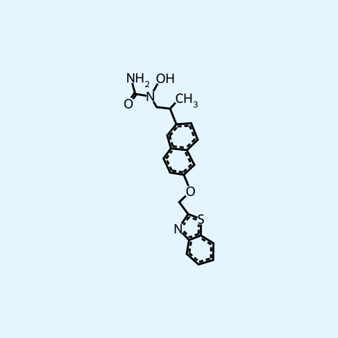 CC(CN(O)C(N)=O)c1ccc2cc(OCc3nc4ccccc4s3)ccc2c1